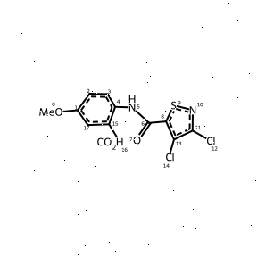 COc1ccc(NC(=O)c2snc(Cl)c2Cl)c(C(=O)O)c1